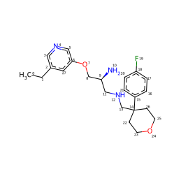 CCc1cncc(OC[C@@H](N)CNCC2(c3ccc(F)cc3)CCOCC2)c1